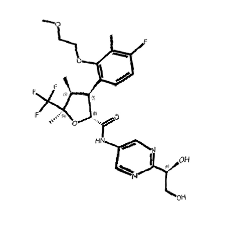 COCCOc1c([C@H]2[C@H](C(=O)Nc3cnc([C@@H](O)CO)nc3)O[C@@](C)(C(F)(F)F)[C@H]2C)ccc(F)c1C